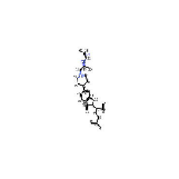 C=C(C)CCC(C(=C)C)C1Cc2cc(C3CCN(C/C(C)=N/C=C\C)CC3)ccc2C1=C